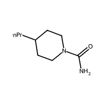 CC[CH]C1CCN(C(N)=O)CC1